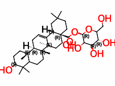 CC1(C)CC[C@]2(C(=O)O[C@H]3OC(CO)[C@H](O)[C@@H](O)C3O)C(O)C[C@]3(C)C(=CC[C@@H]4[C@@]5(C)CC[C@H](O)C(C)(C)C5CC[C@]43C)[C@@H]2C1